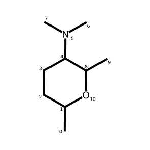 CC1CCC(N(C)C)C(C)O1